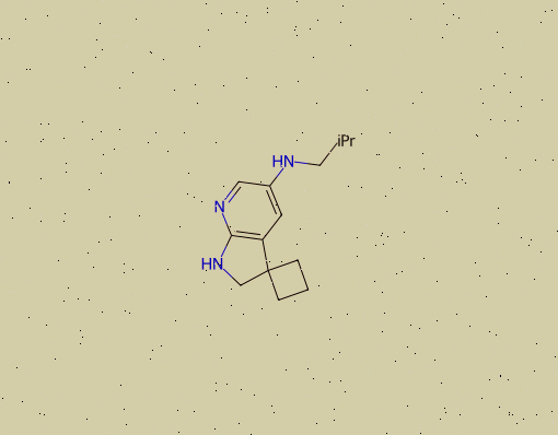 CC(C)CNc1cnc2c(c1)C1(CCC1)CN2